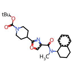 CN(C(=O)c1coc(C2CCN(C(=O)OC(C)(C)C)CC2)n1)[C@@H]1CCCc2ccccc21